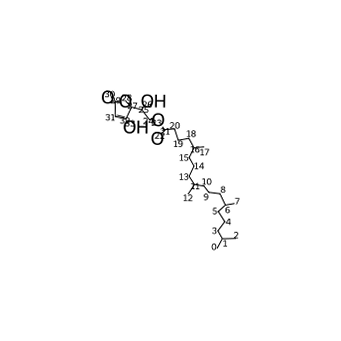 CC(C)CCCC(C)CCCC(C)CCCC(C)CCCC(=O)OCC(O)C1OC(=O)C=C1O